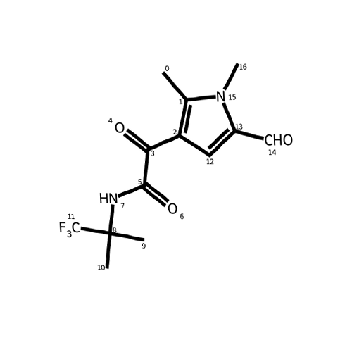 Cc1c(C(=O)C(=O)NC(C)(C)C(F)(F)F)cc(C=O)n1C